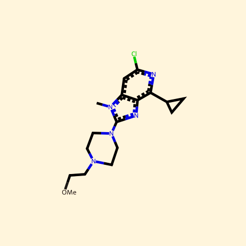 COCCN1CCN(c2nc3c(C4CC4)nc(Cl)cc3n2C)CC1